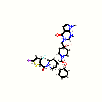 Cn1ccc2c(=O)n(CC3(O)CCN(C(=O)[C@@H]4CCN(C(=O)c5sc(I)cc5F)C[C@H]4c4ccccc4)CC3)cnc21